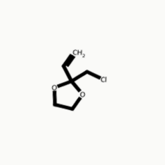 C=CC1(CCl)OCCO1